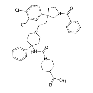 O=C(O)C1CCN(C(=O)NC2(c3ccccc3)CCN(CCC3(c4ccc(Cl)c(Cl)c4)CCN(C(=O)c4ccccc4)C3)CC2)CC1